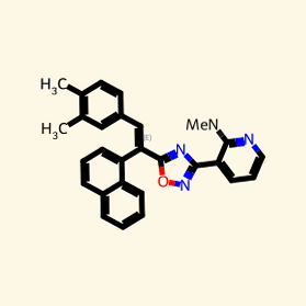 CNc1ncccc1-c1noc(/C(=C/c2ccc(C)c(C)c2)c2cccc3ccccc23)n1